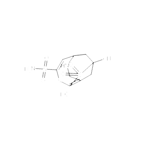 CC12CC3=C(SC(S(N)(=O)=O)=CC(C1)NC3)S2(=O)=O.Cl